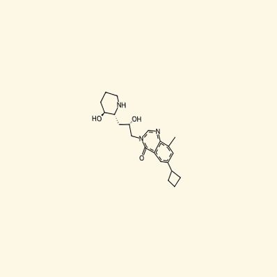 Cc1cc(C2CCC2)cc2c(=O)n(C[C@@H](O)C[C@H]3NCCC[C@@H]3O)cnc12